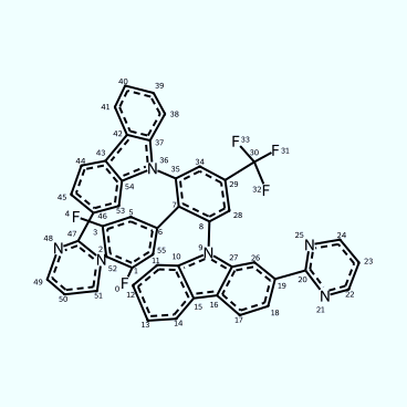 Fc1cc(F)cc(-c2c(-n3c4ccccc4c4ccc(-c5ncccn5)cc43)cc(C(F)(F)F)cc2-n2c3ccccc3c3ccc(-c4ncccn4)cc32)c1